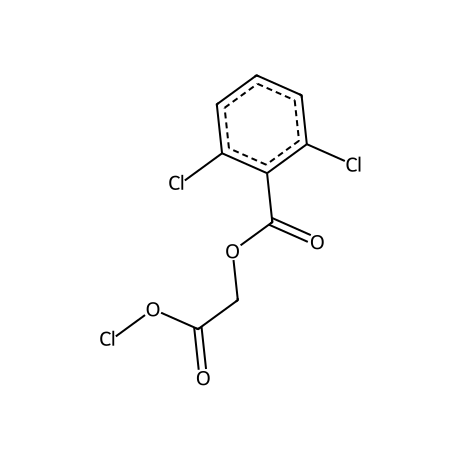 O=C(COC(=O)c1c(Cl)cccc1Cl)OCl